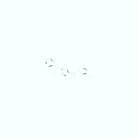 CC(C)c1ccn(CC(C)c2cnn(CC(C)c3ccncc3)c2)n1